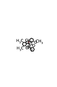 COc1cccc(Cl)c1C(=O)P(=O)(C(=O)c1c(C)c(C)cc(C)c1C)c1ccccc1